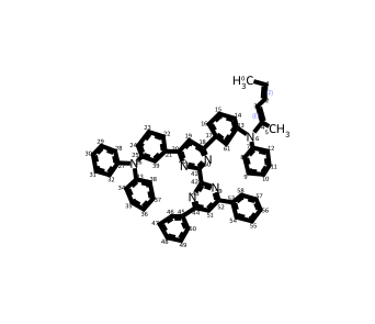 C/C=C\C=C(/C)N(c1ccccc1)c1cccc(-c2cc(-c3cccc(N(c4ccccc4)c4ccccc4)c3)nc(-c3nc(-c4ccccc4)cc(-c4ccccc4)n3)n2)c1